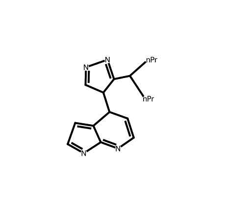 CCCC(CCC)C1=NN=CC1C1C=CN=C2N=CC=C21